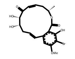 COc1cc2c(c(O)c1Br)C(=O)O[C@@H](C)C/C=C\C(=O)[C@@H](O)[C@@H](O)C/C=C/2